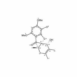 COc1cc(OC)c2c(c1Cl)O[C@@]1(C2=O)[C@H](C)CC(C)=C(C)[C@H]1O